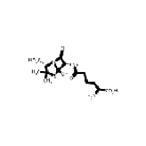 CC1(C)SC2(O)[C@@H](NC(=O)CCCC(N)C(=O)O)C(=O)N2[C@H]1C(=O)O